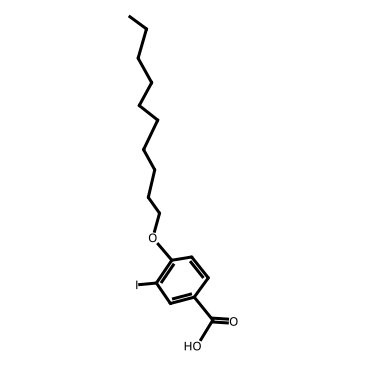 CCCCCCCCCCOc1ccc(C(=O)O)cc1I